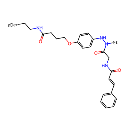 CCCCCCCCCCCCNC(=O)CCCOc1ccc(NN(CC)C(=O)CNC(=O)C=Cc2ccccc2)cc1